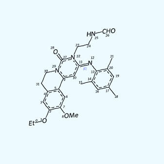 CCOc1cc2c(cc1OC)-c1c/c(=N\c3c(C)cc(C)cc3C)n(CCNC=O)c(=O)n1CC2